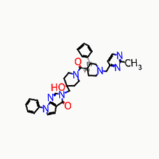 Cc1nccc(CN2CC[C@@H](C(=O)N3CCC(O)(Cn4cnc5c(ccn5-c5ccccc5)c4=O)CC3)[C@H](c3ccccc3)C2)n1